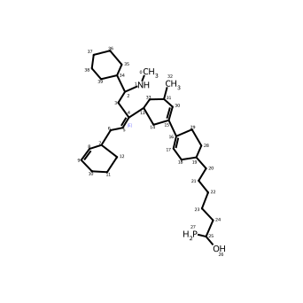 CNC(C/C(=C\CC1C=CCCC1)C1CC(C2=CCC(CCCCCC(O)P)CC2)=CC(C)C1)C1CCCCC1